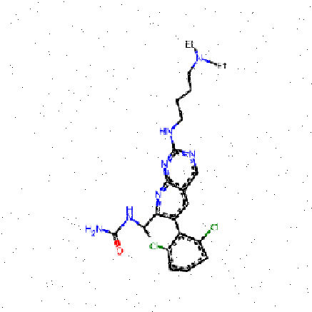 CCN(CC)CCCCNc1ncc2cc(-c3c(Cl)cccc3Cl)c(C(C)NC(N)=O)nc2n1